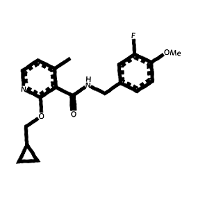 COc1ccc(CNC(=O)c2c(C)ccnc2OCC2CC2)cc1F